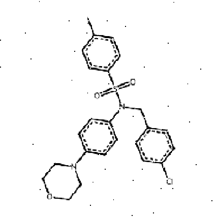 Cc1ccc(S(=O)(=O)N(Cc2ccc(Cl)cc2)c2ccc(N3CCOCC3)cc2)cc1